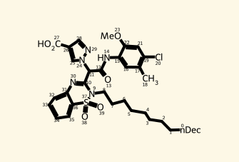 CCCCCCCCCCCCCCCCCCN1C(C(C(=O)Nc2cc(C)c(Cl)cc2OC)n2cc(C(=O)O)cn2)=Nc2ccccc2S1(=O)=O